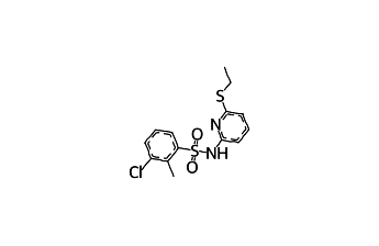 CCSc1cccc(NS(=O)(=O)c2cccc(Cl)c2C)n1